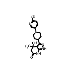 N#Cc1ccc(N2CCC(c3n[nH]c4c3C(O)(C(F)(F)F)CC(=O)N4)CC2)cn1